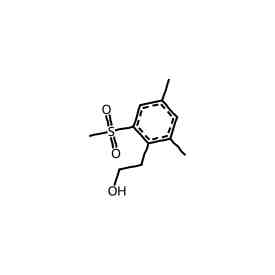 Cc1cc(C)c(CCO)c(S(C)(=O)=O)c1